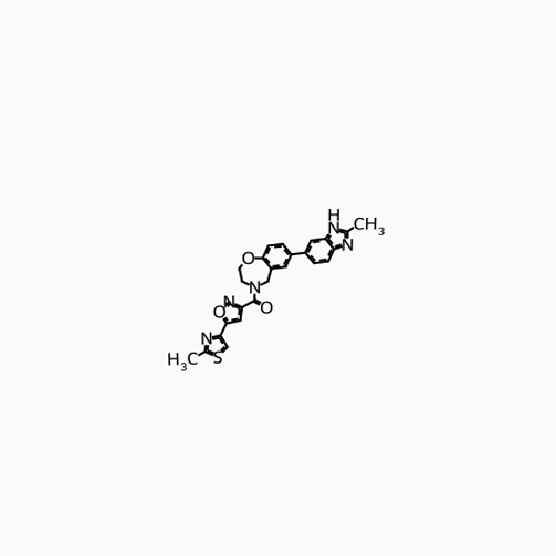 Cc1nc2ccc(-c3ccc4c(c3)CN(C(=O)c3cc(-c5csc(C)n5)on3)CCO4)cc2[nH]1